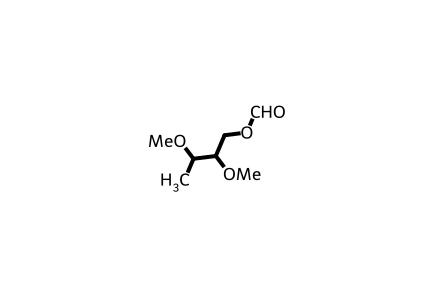 COC(C)C(COC=O)OC